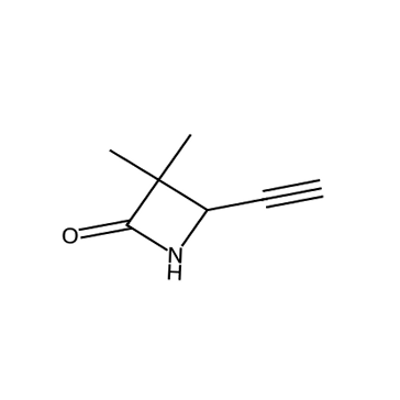 C#CC1NC(=O)C1(C)C